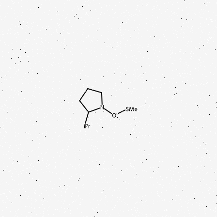 CSON1CCCC1C(C)C